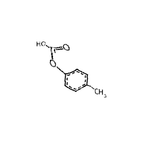 Cc1ccc([O][Ti](=[O])[OH])cc1